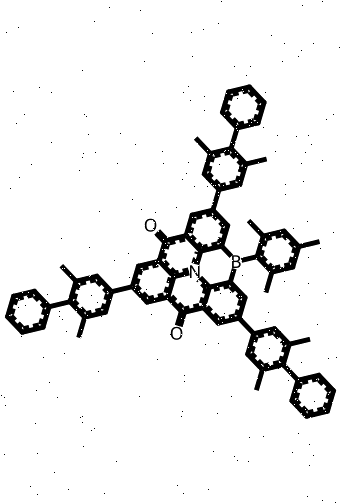 Cc1cc(C)c(B2c3cc(-c4cc(C)c(-c5ccccc5)c(C)c4)cc4c(=O)c5cc(-c6cc(C)c(-c7ccccc7)c(C)c6)cc6c(=O)c7cc(-c8cc(C)c(-c9ccccc9)c(C)c8)cc2c7n(c34)c56)c(C)c1